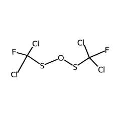 FC(Cl)(Cl)SOSC(F)(Cl)Cl